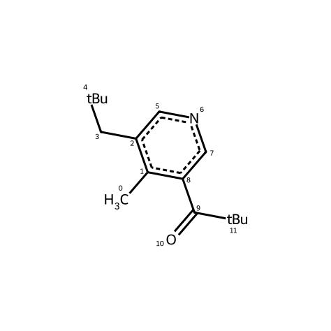 Cc1c(CC(C)(C)C)cncc1C(=O)C(C)(C)C